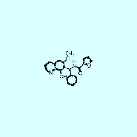 COc1cc2cccnc2c(O)c1C(NC(=O)c1ccco1)c1ccccc1